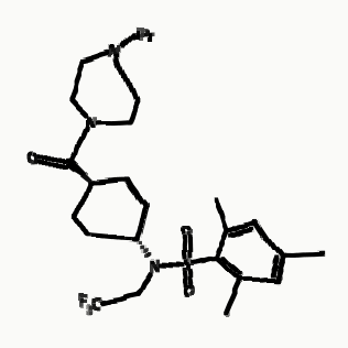 Cc1cc(C)c(S(=O)(=O)N(CC(F)(F)F)[C@H]2CC[C@H](C(=O)N3CCN(C(C)C)CC3)CC2)c(C)c1